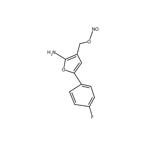 Nc1oc(-c2ccc(F)cc2)cc1CON=O